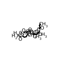 CCC(=O)OCC(C)(C)CC(C)(C)COS(=O)(=O)ON1C(=O)N(C)[C@H](C(N)=O)CC[C@@H]1C